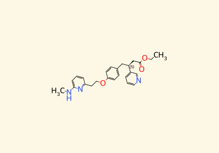 CCOC(=O)C[C@H](Cc1ccc(OCCc2cccc(NC)n2)cc1)c1cccnc1